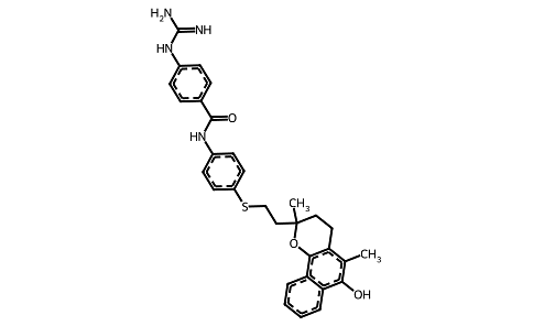 Cc1c2c(c3ccccc3c1O)OC(C)(CCSc1ccc(NC(=O)c3ccc(NC(=N)N)cc3)cc1)CC2